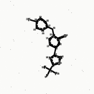 O=c1cc(-c2noc(C(F)(F)F)n2)ccn1Cc1ccc(F)cn1